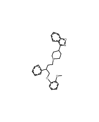 COc1c[c]ccc1OCC(CCN1CCC(c2noc3ccccc23)CC1)c1ccccc1